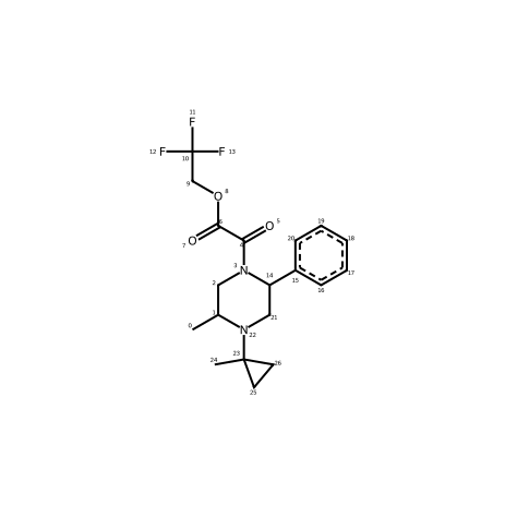 CC1CN(C(=O)C(=O)OCC(F)(F)F)C(c2ccccc2)CN1C1(C)CC1